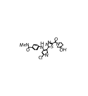 CNC(=O)c1ccc(Nc2cc(Cl)ncc2-c2nnc(C(=O)N3CC[C@@H](O)C3)s2)cc1